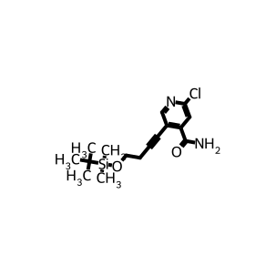 CC(C)(C)[Si](C)(C)OCCC#Cc1cnc(Cl)cc1C(N)=O